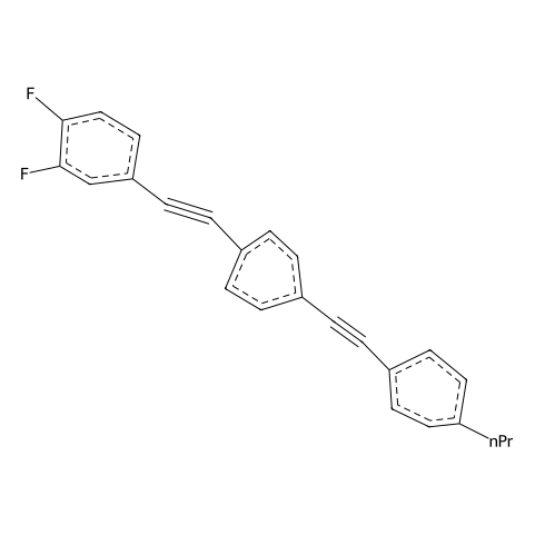 CCCc1ccc(C#Cc2ccc(C#Cc3ccc(F)c(F)c3)cc2)cc1